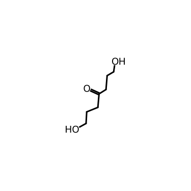 O=C(CCCO)CCCO